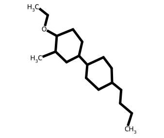 CCCCC1CCC(C2CCC(OCC)C(C)C2)CC1